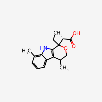 CCC1(CC(=O)O)OCC(C)c2c1[nH]c1c(C)cccc21